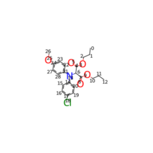 CCCOC(=O)C(C(=O)OCCC)N(c1ccc(Cl)cc1)c1ccc(OC)cc1